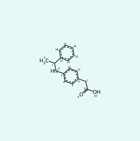 CC(Nc1ccc(CC(=O)O)cc1)c1ccccc1